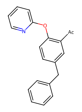 CC(=O)c1cc(Cc2ccccc2)ccc1Oc1ccccn1